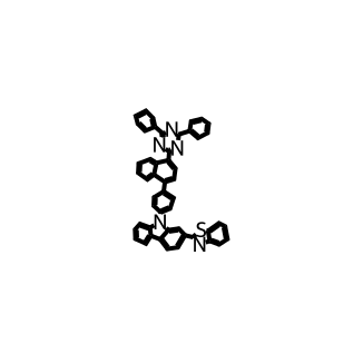 c1ccc(-c2nc(-c3ccccc3)nc(-c3ccc(-c4ccc(-n5c6ccccc6c6ccc(-c7nc8ccccc8s7)cc65)cc4)c4ccccc34)n2)cc1